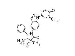 Cn1cc(-n2ncc3cc(N4C(=O)C(C)(C)[C@H](N)C4c4ccccc4)ccc32)ccc1=O